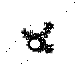 CCC1(S(=O)(=O)NC(=O)[C@@]23C[C@H]2/C=C\CCCCC[C@H](NC(=O)OC(C)(C)C)C(=O)N2C[C@H](OC(=O)N4Cc5cccc(F)c5C4)C[C@H]2C(=O)N3)CC1